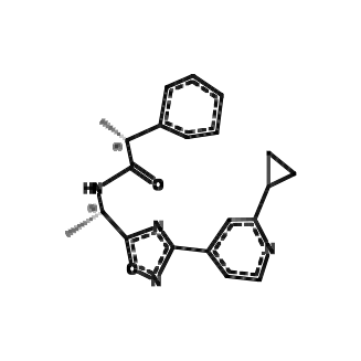 C[C@H](NC(=O)[C@H](C)c1ccccc1)c1nc(-c2ccnc(C3CC3)c2)no1